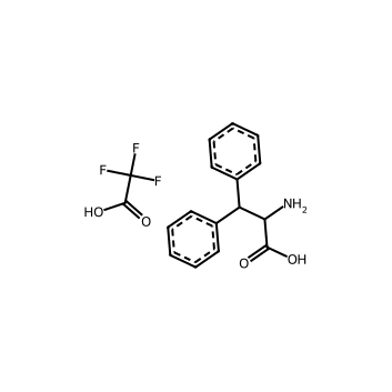 NC(C(=O)O)C(c1ccccc1)c1ccccc1.O=C(O)C(F)(F)F